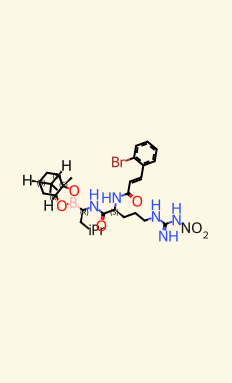 CC(C)C[C@H](NC(=O)[C@H](CCCNC(=N)N[N+](=O)[O-])NC(=O)C=Cc1ccccc1Br)B1O[C@@H]2C[C@@H]3C[C@@H](C3(C)C)[C@]2(C)O1